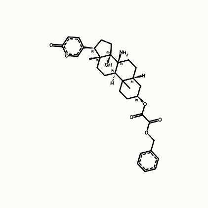 CC12CC[C@H](OC(=O)C(=O)OCc3ccccc3)C[C@H]1CC[C@]1(N)[C@@H]2CC[C@]2(C)[C@@H](c3ccc(=O)oc3)CC[C@@]21O